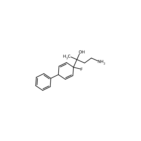 CC(O)(CCN)C1(F)C=CC(c2ccccc2)C=C1